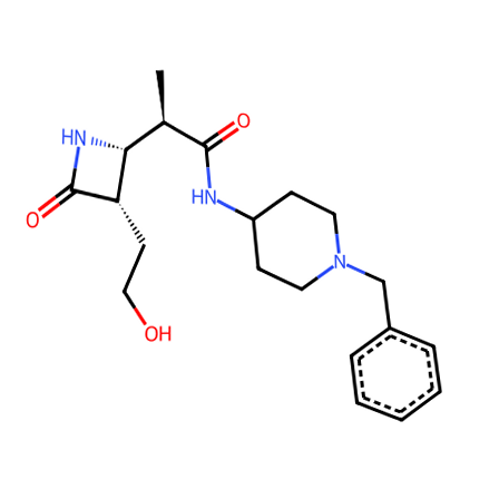 C[C@@H](C(=O)NC1CCN(Cc2ccccc2)CC1)[C@H]1NC(=O)[C@H]1CCO